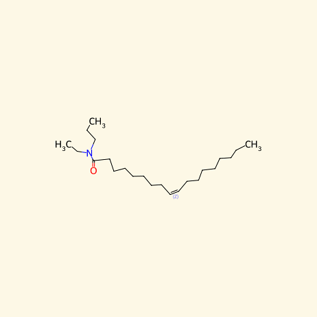 CCCCCCCC/C=C\CCCCCCCC(=O)N(CC)CCC